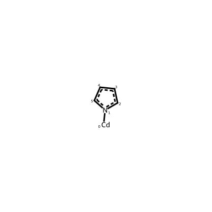 [Cd][n]1cccc1